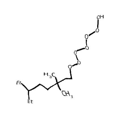 CCC(CC)CCC(C)(C)COOOOOOO